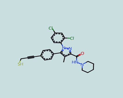 Cc1c(C(=O)NN2CCCCC2)nn(-c2ccc(Cl)cc2Cl)c1-c1ccc(C#CCS)cc1